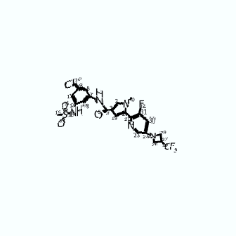 Cn1cc(C(=O)Nc2cc(Cl)cc(NS(C)(=O)=O)c2)cc1-c1ncc(N2CC(C(F)(F)F)C2)cc1F